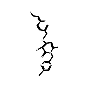 C=C(/C=C\C(F)=C/CF)COc1cc(C)n(Cc2cnc(C)cn2)c(=O)c1Cl